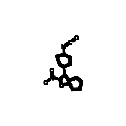 O=C=Nc1ccc(-c2c([N+](=O)[O-])oc3ccccc23)cc1